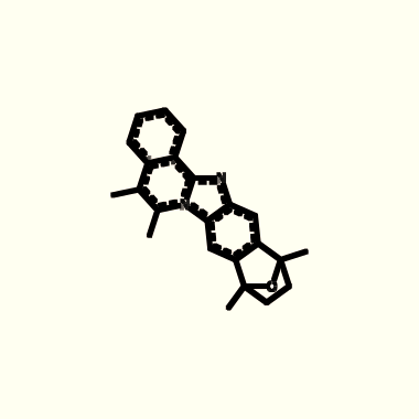 Cc1c(C)n2c3cc4c(cc3nc2c2ccccc12)C1(C)CCC4(C)O1